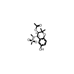 CC(=O)O[C@@H]1[C@@H](N(C)S(C)(=O)=O)c2cc(O)ccc2OC1(C)C